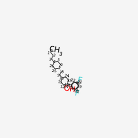 CCCC[C@H]1CC[C@H](CCC2CCC(O)(c3cc(F)cc(F)c3)CC2)CC1